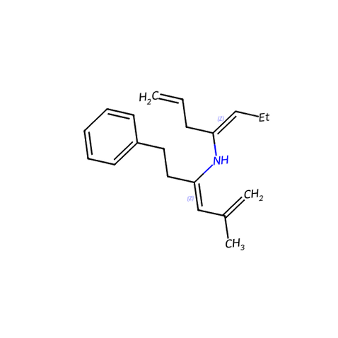 C=CC/C(=C/CC)N/C(=C\C(=C)C)CCc1ccccc1